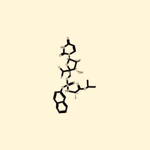 CC(C)OC(=O)[C@H](C)NP(=S)(OC[C@@]1(C(F)F)O[C@@H](n2ccc(=O)[nH]c2=O)[C@@H](F)[C@@H]1O)Oc1ccc2ccccc2c1